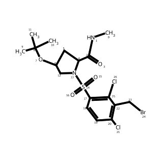 CNC(=O)C1CC(OC(C)(C)C)CN1S(=O)(=O)c1ccc(Cl)c(CBr)c1Cl